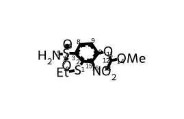 CCSc1c(S(N)(=O)=O)ccc(OC(C)OC)c1[N+](=O)[O-]